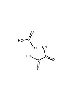 O=S(O)O.O=S(O)S(=O)O